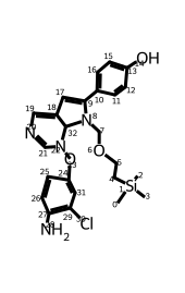 C[Si](C)(C)CCOCN1C(c2ccc(O)cc2)=CC2=CN=CN(Oc3ccc(N)c(Cl)c3)C21